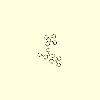 c1ccc(-c2cccc(N(c3ccc(-c4ccc5c(c4)c(-c4ccccc4)c(-c4ccccc4)c4ccccc45)cc3)c3ccc(-c4cccc5c6ccccc6n(-c6ccccc6)c45)cc3)c2)cc1